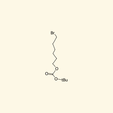 CC(C)(C)OC(=O)OCCCCCCBr